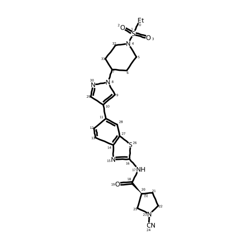 CCS(=O)(=O)N1CCC(n2cc(-c3ccc4nc(NC(=O)[C@H]5CCN(C#N)C5)sc4c3)cn2)CC1